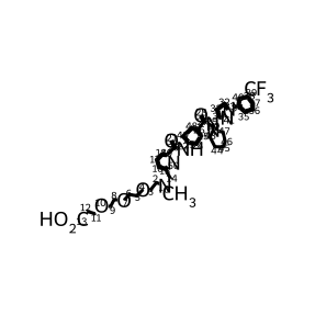 CN(CCOCCOCCOCCC(=O)O)Cc1cccc(C(=O)Nc2ccc(C(=O)N(c3ccn(-c4cccc(C(F)(F)F)c4)n3)N3CCCCC3)cc2)n1